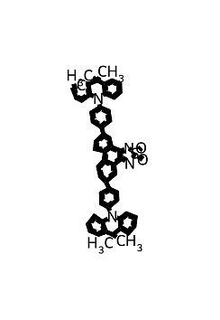 CC1(C)c2ccccc2N(c2ccc(-c3ccc4c(c3)c3c(c5cc(-c6ccc(N7c8ccccc8C(C)(C)c8ccccc87)cc6)ccc54)=NS(=O)(=O)N=3)cc2)c2ccccc21